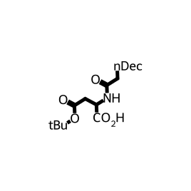 CCCCCCCCCCCC(=O)NC(CC(=O)OC(C)(C)C)C(=O)O